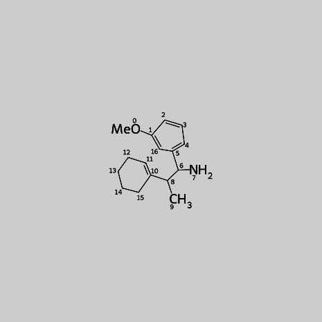 COc1cccc(C(N)C(C)C2=CCCCC2)c1